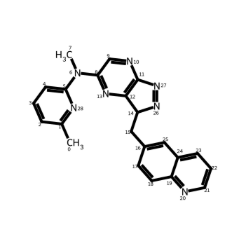 Cc1cccc(N(C)c2cnc3c(n2)C(Cc2ccc4ncccc4c2)N=N3)n1